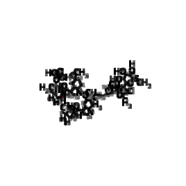 C=C[C@H]1C[N@]2CC[C@H]1C[C@H]2[C@H](O)c1ccnc2ccc(OC)cc12.C=C[C@H]1C[N@]2CC[C@H]1C[C@H]2[C@H](O)c1ccnc2ccc(OC)cc12.CCC[C@@H]1C[C@@H](C(=O)N[C@@H]([C@H]2O[C@H](SC)[C@H](O)[C@@H](O)[C@H]2O)[C@H](C)Cl)N(C)C1.O=S(=O)(O)O